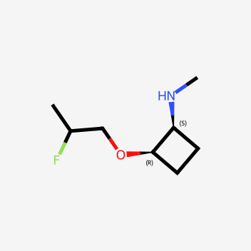 CN[C@H]1CC[C@H]1OCC(C)F